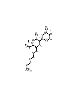 CCCCCCCC(CC=O)SC(C(C)C)C1CC(C)CCO1